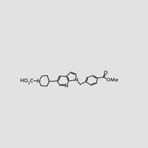 COC(=O)c1ccc(Cn2ccc3cc(C4CCN(C(=O)O)CC4)cnc32)cc1